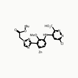 COc1c(Nc2cc(Cl)nnc2C(=O)O)cccc1-c1ncn(CC(=O)OC(C)(C)C)n1.[Zn]